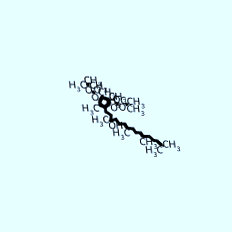 CC(C)=CCC/C(C)=C/CC/C(C)=C/CCC(C)(O)CCc1c(C)c(OC(=O)OC(C)(C)C)c(C)c(C)c1OC(=O)OC(C)(C)C